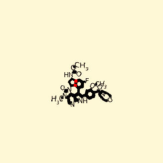 COC(=O)N[C@@H]1CC[C@@H](n2c(=O)n(C)c3cnc4[nH]c(-c5ccc(C(=O)N6C7CCC6COC7)c(OC)c5)c(-c5cccc(F)c5)c4c32)C1